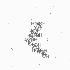 CC(C(O)CO)C(C)(C)C.CC(C)(C)C(O)C(C)(C)O.CC(C)(C)CC(C)(O)CO.CC(C)C(C)(C)C(O)CO.CC(C)C(C)(O)C(C)(C)O.CC(C)C(C)C(C)(O)CO.CC(O)C(C)(O)C(C)(C)C.CCC(C)(C)C(C)(O)CO